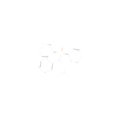 CC(C)SN(c1ccccc1)P(=O)(c1ccccc1)c1ccccc1